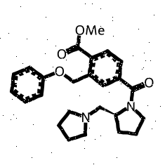 COC(=O)c1ccc(C(=O)N2CCC[C@H]2CN2CCCC2)cc1COc1ccccc1